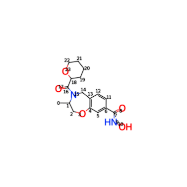 CC1COc2cc(C(=O)NO)ccc2CN1C(=O)C1CCCCO1